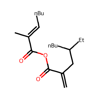 C=C(CC(CC)CCCC)C(=O)OC(=O)C(C)=CCCCC